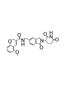 COc1cccc2c1C=C(C(=O)NCc1ccc3c(c1)CN(C1CCC(=O)NC1=O)C3=O)CO2